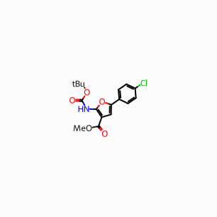 COC(=O)c1cc(-c2ccc(Cl)cc2)oc1NC(=O)OC(C)(C)C